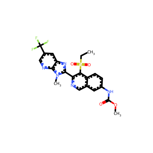 CCS(=O)(=O)c1c(-c2nc3cc(C(F)(F)F)cnc3n2C)ncc2cc(NC(=O)OC)ccc12